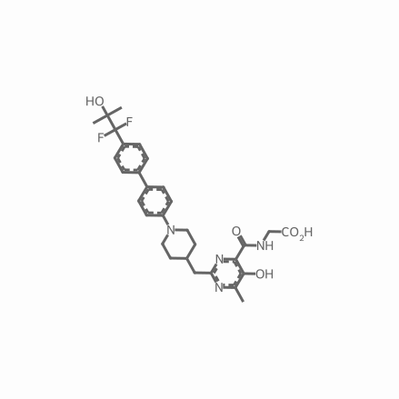 Cc1nc(CC2CCN(c3ccc(-c4ccc(C(F)(F)C(C)(C)O)cc4)cc3)CC2)nc(C(=O)NCC(=O)O)c1O